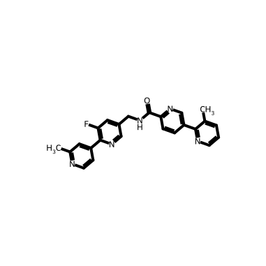 Cc1cc(-c2ncc(CNC(=O)c3ccc(-c4ncccc4C)cn3)cc2F)ccn1